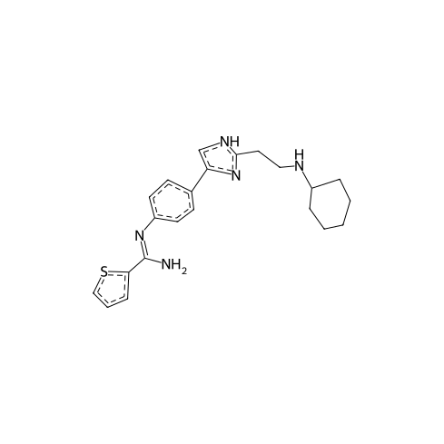 N/C(=N\c1ccc(-c2c[nH]c(CCNC3CCCCC3)n2)cc1)c1cccs1